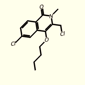 CCCCOc1c(CCl)n(C)c(=O)c2ccc(Cl)cc12